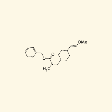 CO/C=C/C1CCC(CN(C)C(=O)OCc2ccccc2)CC1